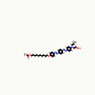 CCC(=O)OCCCCCCCCCCOc1ccc(N=Nc2ccc(N=Nc3ccc(N(CCO)CCC#N)cc3)cc2)cc1